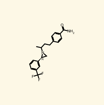 CC(CCc1ccc(C(N)=O)cc1)N1C[C@H]1c1cccc(C(F)(F)F)c1